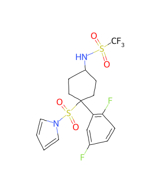 O=S(=O)(NC1CCC(c2cc(F)ccc2F)(S(=O)(=O)n2cccc2)CC1)C(F)(F)F